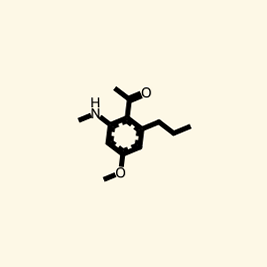 CCCc1cc(OC)cc(NC)c1C(C)=O